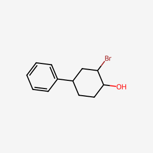 OC1CCC(c2ccccc2)CC1Br